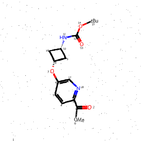 COC(=O)c1ccc(O[C@H]2C[C@@H](NC(=O)OC(C)(C)C)C2)cn1